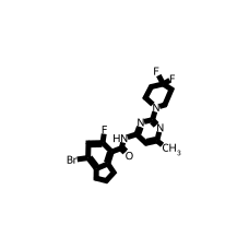 Cc1cc(NC(=O)c2c(F)cc(Br)c3c2CCC3)nc(N2CCC(F)(F)CC2)n1